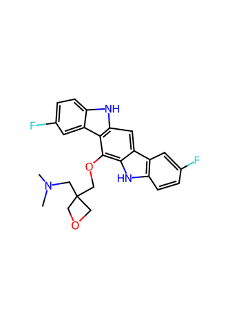 CN(C)CC1(COc2c3[nH]c4ccc(F)cc4c3cc3[nH]c4ccc(F)cc4c23)COC1